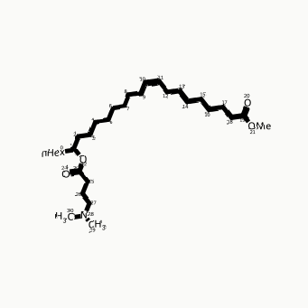 CCCCCCC(CCCCCCCC/C=C\CCCCCCCC(=O)OC)OC(=O)CCCN(C)C